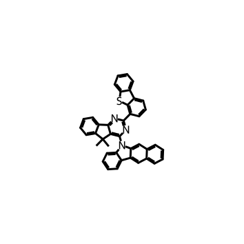 CC1(C)c2ccccc2-c2nc(-c3cccc4c3sc3ccccc34)nc(-n3c4ccccc4c4cc5ccccc5cc43)c21